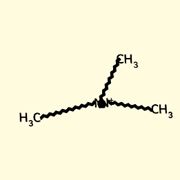 CCCCCCCCCCCCCCCCCCCn1cc[n+](CCCCCCCCCCCCCCC)c1CCCCCCCCCCCCCC